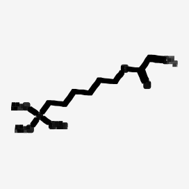 C=CC(=O)OCCCCCC[Si](OC)(OC)OC